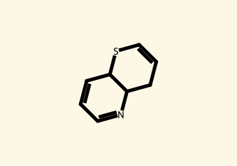 C1=CC2SC=CCC2N=C1